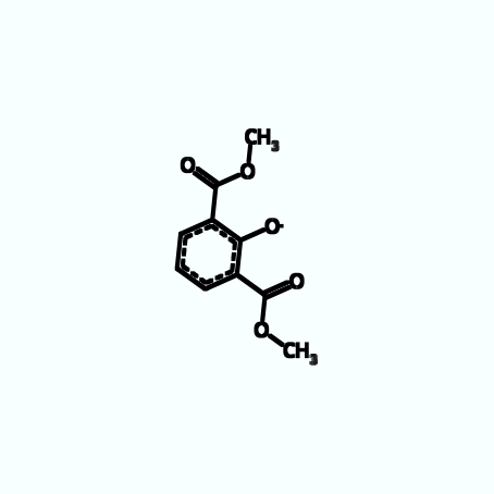 COC(=O)c1cccc(C(=O)OC)c1[O]